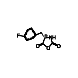 O=C1N[C@@H](Cc2ccc(F)cc2)C(=O)O1